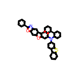 c1ccc(-c2nc3cc4c(cc3o2)oc2cc(N(c3ccc5c(c3)sc3ccccc35)c3ccccc3-c3ccccc3)ccc24)cc1